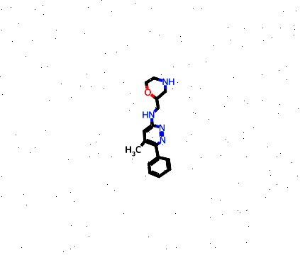 Cc1cc(NCC2CNCCO2)nnc1-c1ccccc1